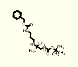 CC(C)(CNC(=O)OC(C)(C)C)NCCCNC(=O)OCc1ccccc1